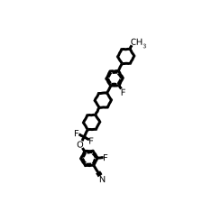 CC1CCC(c2ccc(C3CCC(C4CCC(C(F)(F)Oc5ccc(C#N)c(F)c5)CC4)CC3)c(F)c2)CC1